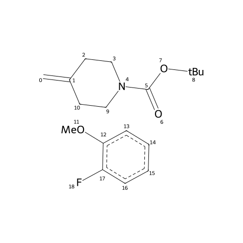 C=C1CCN(C(=O)OC(C)(C)C)CC1.COc1ccccc1F